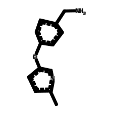 Cc1ccc(Oc2ccc(CN)cc2)cn1